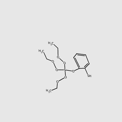 CCOO[Si](OOCC)(OOCC)Oc1ccccc1S